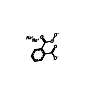 O=C([O-])c1ccccc1C(=O)O[O-].[Na+].[Na+]